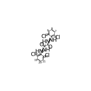 O=C(NNc1c(Cl)cccc1Cl)C(=O)NNc1c(Cl)cccc1Cl